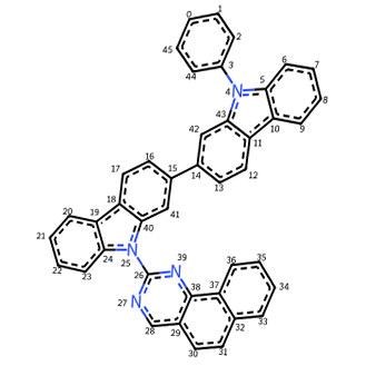 c1ccc(-n2c3ccccc3c3ccc(-c4ccc5c6ccccc6n(-c6ncc7ccc8ccccc8c7n6)c5c4)cc32)cc1